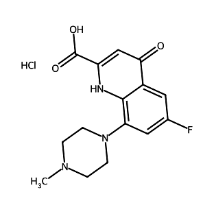 CN1CCN(c2cc(F)cc3c(=O)cc(C(=O)O)[nH]c23)CC1.Cl